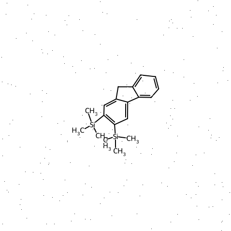 C[Si](C)(C)c1[c]c2c(cc1[Si](C)(C)C)-c1ccccc1C2